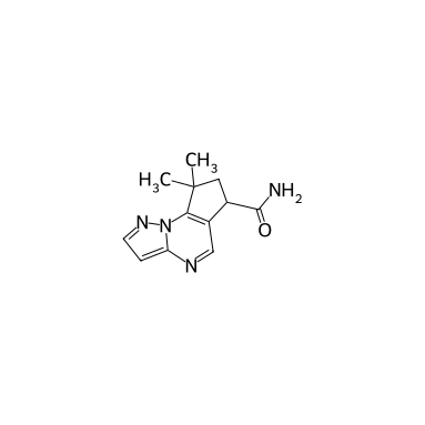 CC1(C)CC(C(N)=O)c2cnc3ccnn3c21